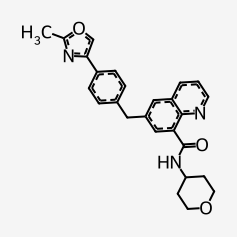 Cc1nc(-c2ccc(Cc3cc(C(=O)NC4CCOCC4)c4ncccc4c3)cc2)co1